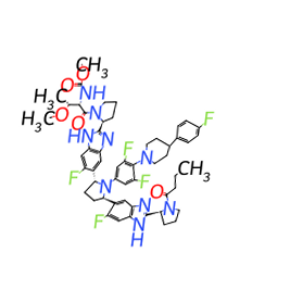 CCCC(=O)N1CCC[C@H]1c1nc2cc([C@H]3CC[C@H](c4cc5nc([C@@H]6CCCN6C(=O)[C@@H](NC(=O)OC)[C@@H](C)OC)[nH]c5cc4F)N3c3cc(F)c(N4CCC(c5ccc(F)cc5)CC4)c(F)c3)c(F)cc2[nH]1